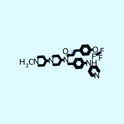 CN1CCC(N2CCC(N(Cc3ccc(Nc4ccncc4)cc3)C(=O)/C=C/c3ccc(OC(F)(F)F)cc3)CC2)CC1